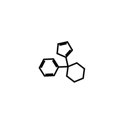 C1=CCC(C2(c3ccccc3)CCCCC2)=C1